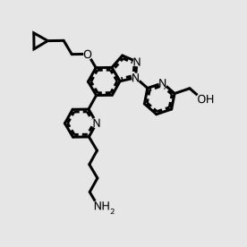 NCCCCc1cccc(-c2cc(OCCC3CC3)c3cnn(-c4cccc(CO)n4)c3c2)n1